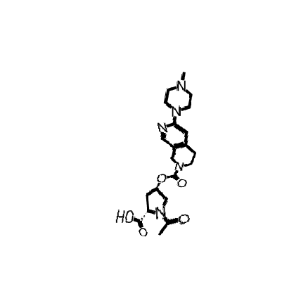 CC(=O)N1C[C@H](OC(=O)N2CCc3cc(N4CCN(C)CC4)ncc3C2)C[C@H]1C(=O)O